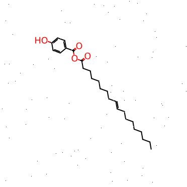 CCCCCCCCC=CCCCCCCCC(=O)OC(=O)c1ccc(O)cc1